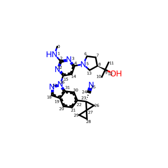 CNc1nc(N2CC[C@@H](C(C)(C)O)C2)cc(-n2ncc3ccc([C@@]4(C#N)CC45CC5)cc32)n1